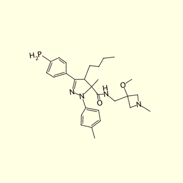 CCCCC1C(c2ccc(P)cc2)=NN(c2ccc(C)cc2)C1(C)C(=O)NCC1(OC)CN(C)C1